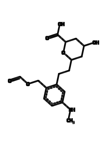 CNc1ccc(COC=O)c(CCC2CC(O)CC(C(=O)O)O2)c1